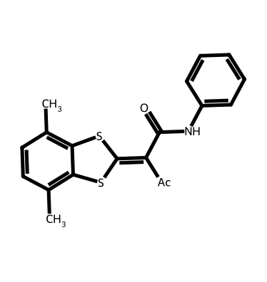 CC(=O)C(C(=O)Nc1ccccc1)=C1Sc2c(C)ccc(C)c2S1